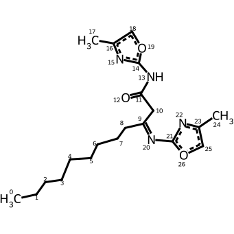 CCCCCCCCC/C(CC(=O)Nc1nc(C)co1)=N/c1nc(C)co1